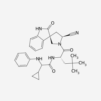 CC(C)(C)C[C@H](NC(=O)C(Nc1ccccc1)C1CC1)C(=O)N1C[C@]2(C[C@H]1C#N)C(=O)Nc1ccccc12